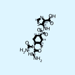 NNC(=O)N(C(N)=O)c1ccc(S(=O)(=O)Nc2scnc2C(=O)O)cc1F